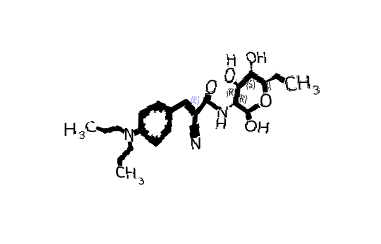 CCCN(CCC)c1ccc(/C=C(\C#N)C(=O)N[C@H]2C(O)O[C@H](CC)[C@@H](O)[C@@H]2O)cc1